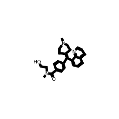 CN1CCC(=C(c2ccc(C(=O)N(C)CCO)cc2)c2cccc3cccnc23)CC1